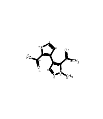 CC(=O)c1c(-c2ccsc2C(=O)O)cnn1C